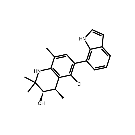 Cc1cc(-c2cccc3cc[nH]c23)c(Cl)c2c1NC(C)(C)[C@H](O)[C@@H]2C